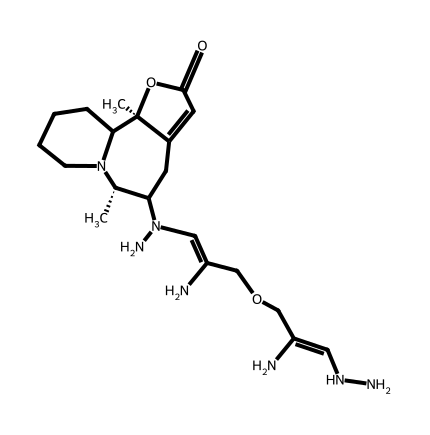 C[C@H]1C(N(N)/C=C(\N)COC/C(N)=C/NN)CC2=CC(=O)O[C@]2(C)C2CCCCN21